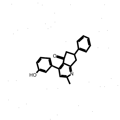 Cc1cc(-c2cccc(O)c2)c2c(n1)CC(c1ccccc1)CC2=O